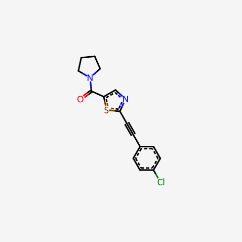 O=C(c1cnc(C#Cc2ccc(Cl)cc2)s1)N1CCCC1